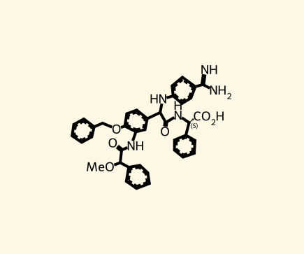 COC(C(=O)Nc1cc(C(Nc2ccc(C(=N)N)cc2)C(=O)N[C@H](C(=O)O)c2ccccc2)ccc1OCc1ccccc1)c1ccccc1